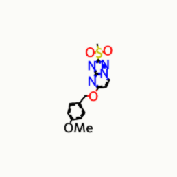 COc1ccc(COc2ccn3nc(S(C)(=O)=O)nc3n2)cc1